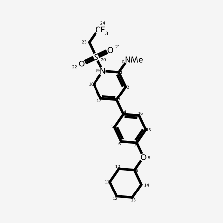 CNC1=CC(c2ccc(OC3CCCCC3)cc2)=CCN1S(=O)(=O)CC(F)(F)F